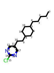 CCCCCC1CCC(CCc2cnc(Cl)nc2)CC1